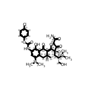 CN(C)c1cc(NC(=O)Oc2ccc(Cl)cc2)c(O)c2c1C[C@H]1C[C@@H]([C@@H](CO)N(C)C)[C@@](O)(C(=O)CC(N)=O)C(O)=C1C2=O